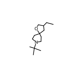 CCC1COC2(CCN(C(C)(C)C)CC2)C1